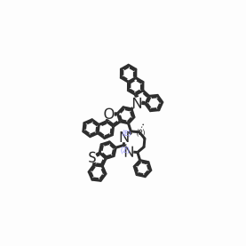 C[C@@H]1CCC(c2ccccc2)/N=C(c2ccc3sc4ccccc4c3c2)\N=C/1c1cc(-n2c3ccccc3c3cc4ccccc4cc32)cc2oc3c4ccccc4ccc3c12